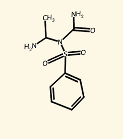 CC(N)N(C(N)=O)S(=O)(=O)c1ccccc1